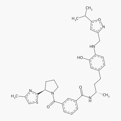 Cc1csc([C@H]2CCCN2C(=O)c2cccc(C(=O)N[C@@H](C)CCc3ccc(NCc4cc(C(C)C)on4)c(O)c3)c2)n1